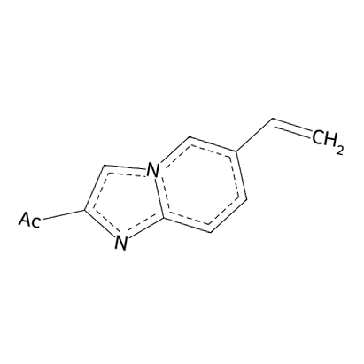 C=Cc1ccc2nc(C(C)=O)cn2c1